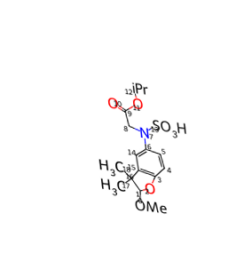 COC1Oc2ccc(N(CC(=O)OC(C)C)S(=O)(=O)O)cc2C1(C)C